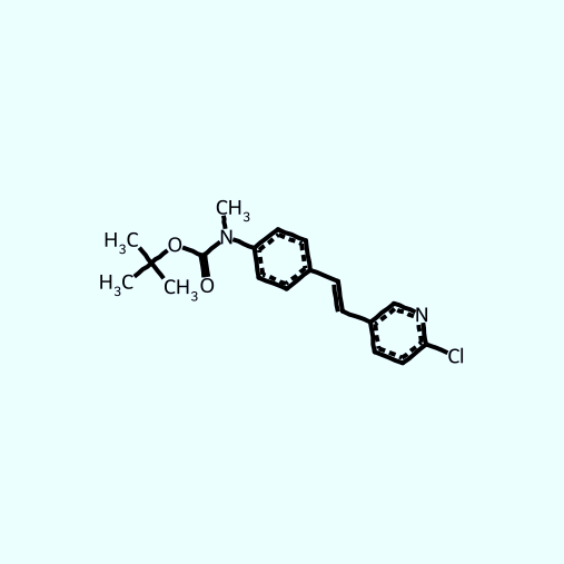 CN(C(=O)OC(C)(C)C)c1ccc(/C=C/c2ccc(Cl)nc2)cc1